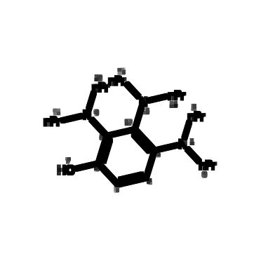 CCCN(CCC)c1ccc(O)c(N(CCC)CCC)c1N(CCC)CCC